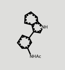 CC(=O)Nc1cccc(-c2c[nH]c3ccccc23)c1